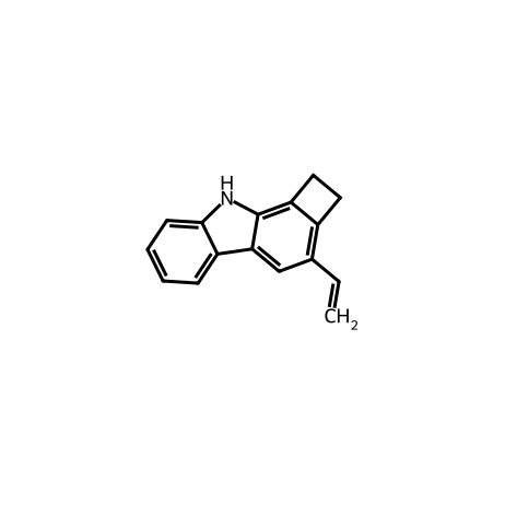 C=Cc1cc2c([nH]c3ccccc32)c2c1CC2